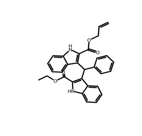 C=CCOC(=O)c1[nH]c2ccccc2c1C(c1ccccc1)c1c(C(=O)OCC)[nH]c2ccccc12